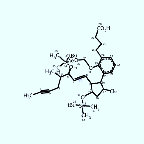 CC#CCC(C)C(/C=C/C1C(O[Si](C)(C)C(C)(C)C)CC(Cl)C1c1cccc(CCCC(=O)O)c1OCOC)O[Si](C)(C)C(C)(C)C